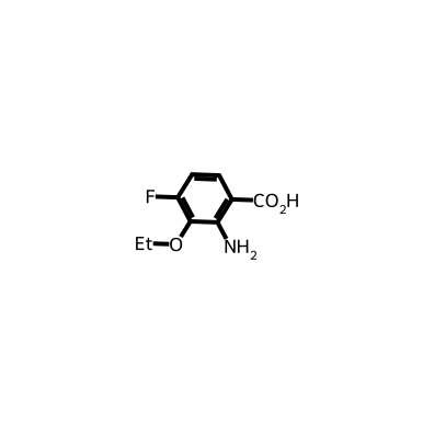 CCOc1c(F)ccc(C(=O)O)c1N